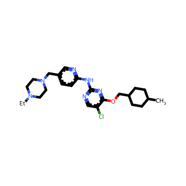 CCN1CCN(Cc2ccc(Nc3ncc(Cl)c(OCC4CCC(C)CC4)n3)nc2)CC1